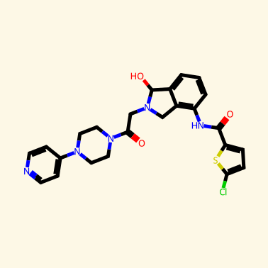 O=C(Nc1cccc2c1CN(CC(=O)N1CCN(c3ccncc3)CC1)C2O)c1ccc(Cl)s1